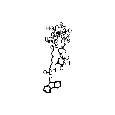 Cc1cn([C@H]2CC[C@@H](COP(=O)(O)OP(=O)(O)OP(=O)(O)OP(=O)(O)OP(=O)(O)OP(=O)(O)OCCCCCCNC(=O)OCC3c4ccccc4-c4ccccc43)O2)c(=O)[nH]c1=O